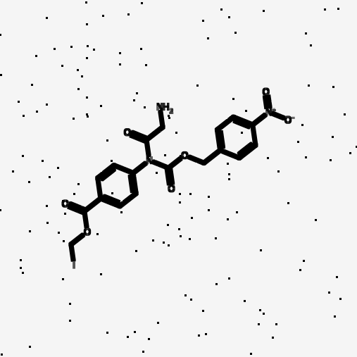 NCC(=O)N(C(=O)OCc1ccc([N+](=O)[O-])cc1)c1ccc(C(=O)OCI)cc1